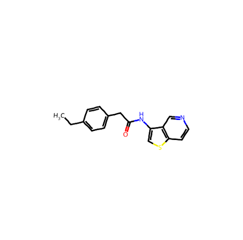 CCc1ccc(CC(=O)Nc2csc3ccncc23)cc1